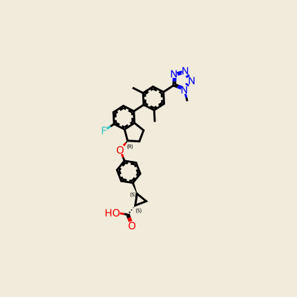 Cc1cc(-c2nnnn2C)cc(C)c1-c1ccc(F)c2c1CC[C@H]2Oc1ccc([C@H]2C[C@@H]2C(=O)O)cc1